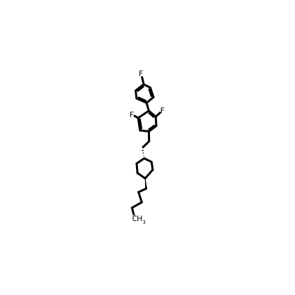 CCCCC[C@H]1CC[C@H](CCc2cc(F)c(-c3ccc(F)cc3)c(F)c2)CC1